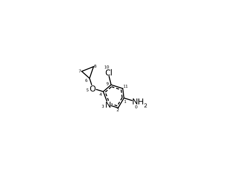 Nc1cnc(OC2CC2)c(Cl)c1